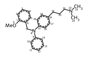 COc1ccccc1CN(c1ccccc1)c1ccc(CCCN(C)C)cc1